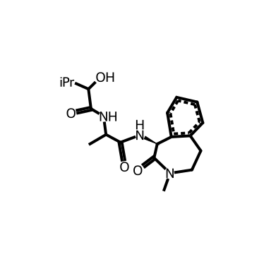 CC(NC(=O)C(O)C(C)C)C(=O)N[C@@H]1C(=O)N(C)CCc2ccccc21